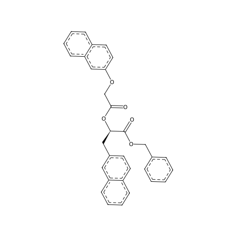 O=C(COc1ccc2ccccc2c1)O[C@H](Cc1ccc2ccccc2c1)C(=O)OCc1ccccc1